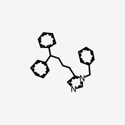 c1ccc(Cn2cncc2CCCC(c2ccccc2)c2ccccc2)cc1